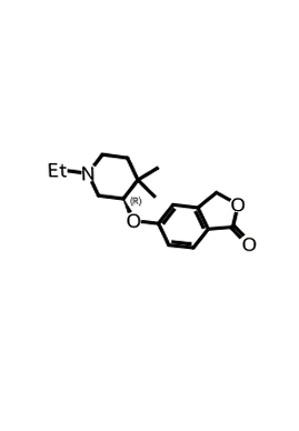 CCN1CCC(C)(C)[C@@H](Oc2ccc3c(c2)COC3=O)C1